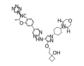 C[C@@H](Cn1cnnn1)Oc1cc(-c2cnc(Nc3cn([C@H]4CC[C@H](N5[C@@H]6CC[C@H]5COC6)CC4)nc3OCCC3(O)CCC3)nc2)ccc1C#N